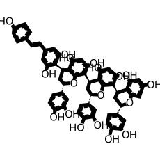 Oc1ccc(/C=C/c2cc(O)c([C@@H]3C[C@@H](c4ccc(O)c(O)c4)Oc4c([C@@H]5C[C@@H](c6ccc(O)c(O)c6)Oc6c5c(O)cc(O)c6[C@@H]5C[C@@H](c6ccc(O)c(O)c6)Oc6cc(O)cc(O)c65)c(O)cc(O)c43)c(O)c2)cc1